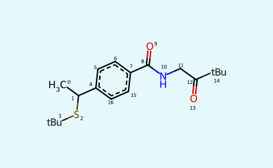 CC(SC(C)(C)C)c1ccc(C(=O)NCC(=O)C(C)(C)C)cc1